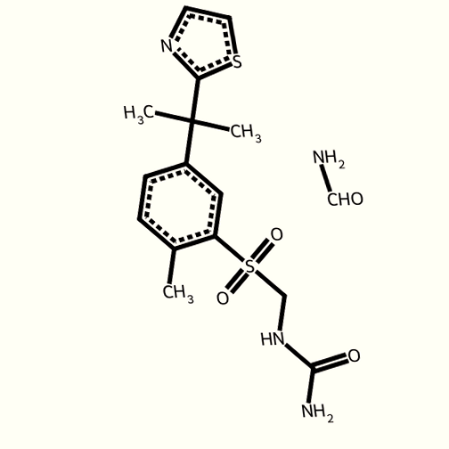 Cc1ccc(C(C)(C)c2nccs2)cc1S(=O)(=O)CNC(N)=O.NC=O